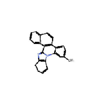 Cc1ccc2c3ccc4ccccc4c3c3nc4c(n3c2c1)C=CCC4